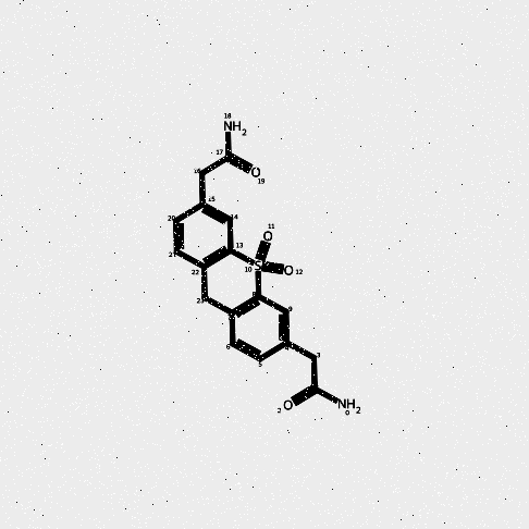 NC(=O)Cc1ccc2c(c1)S(=O)(=O)c1cc(CC(N)=O)ccc1C2